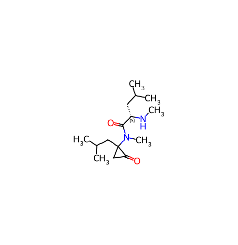 CN[C@@H](CC(C)C)C(=O)N(C)C1(CC(C)C)CC1=O